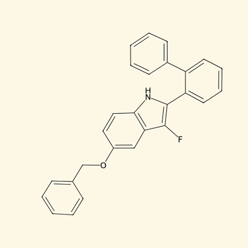 Fc1c(-c2ccccc2-c2ccccc2)[nH]c2ccc(OCc3ccccc3)cc12